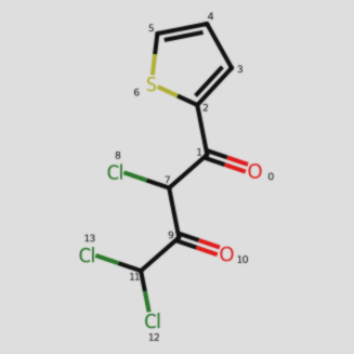 O=C(c1cccs1)C(Cl)C(=O)C(Cl)Cl